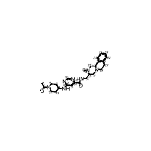 CC(=O)N1CCC(Nc2cc(C(=O)NCC(CN3CCc4ccccc4C3)N(C)C)ncn2)CC1